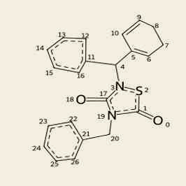 O=c1sn(C(C2=CCCC=C2)c2ccccc2)c(=O)n1Cc1ccccc1